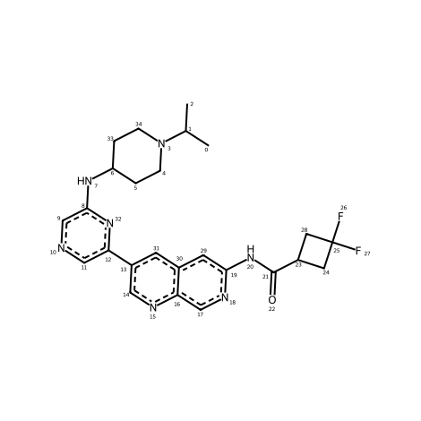 CC(C)N1CCC(Nc2cncc(-c3cnc4cnc(NC(=O)C5CC(F)(F)C5)cc4c3)n2)CC1